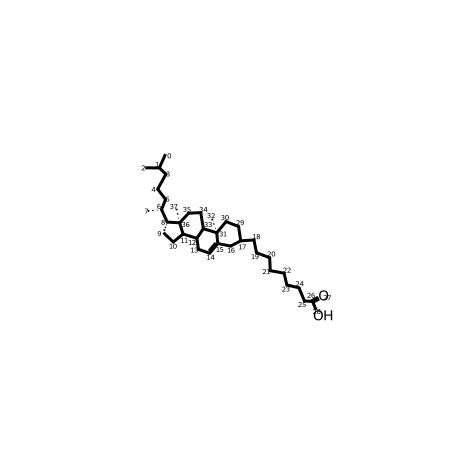 CC(C)CCC[C@@H](C)[C@H]1CCC2C3CC=C4CC(CCCCCCCCC(=O)O)CC[C@]4(C)C3CC[C@@]21C